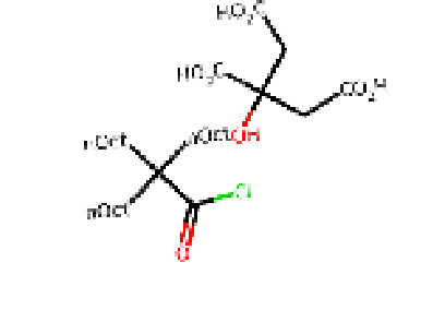 CCCCCCCCC(CCCCCCCC)(CCCCCCCC)C(=O)Cl.O=C(O)CC(O)(CC(=O)O)C(=O)O